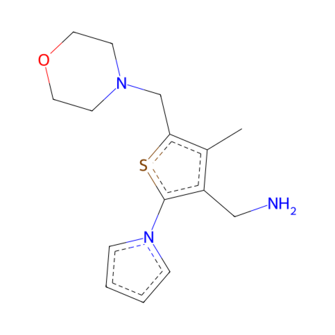 Cc1c(CN2CCOCC2)sc(-n2cccc2)c1CN